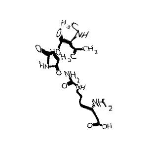 CN[C@H](C(=O)O)C(C)C.NC(=O)NCCC[C@H](N)C(=O)O.O=C1C=CC(=O)N1